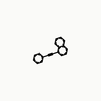 C(#Cc1cccc2ccccc12)c1[c]cccc1